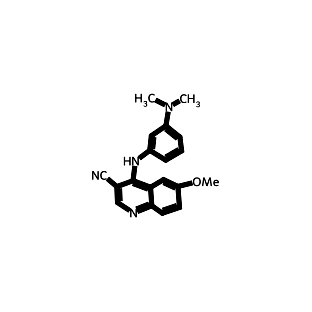 COc1ccc2ncc(C#N)c(Nc3cccc(N(C)C)c3)c2c1